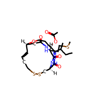 CCC(C)[C@H]1NC(=O)[C@H]2CSSCC/C=C/[C@H](CC(=O)N[C@H](CCSC)C(=O)N2)OCC[C@@H]1OC(C)=O